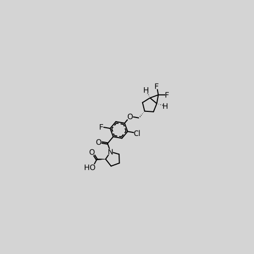 O=C(O)[C@@H]1CCCN1C(=O)c1cc(Cl)c(OC[C@@H]2C[C@@H]3[C@H](C2)C3(F)F)cc1F